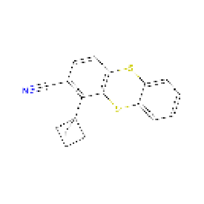 N#Cc1ccc2c(c1C13CC(C1)C3)Sc1ccccc1S2